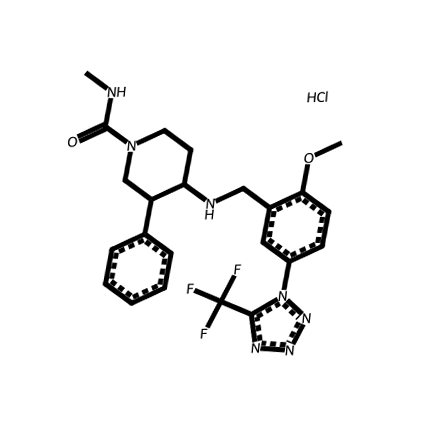 CNC(=O)N1CCC(NCc2cc(-n3nnnc3C(F)(F)F)ccc2OC)C(c2ccccc2)C1.Cl